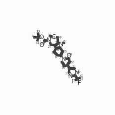 Cn1c2c(c3ccc(-n4ccc(-c5cnc(C(F)(F)F)nc5)cc4=O)cc31)CN(C(=O)OC(C)(C)C)CCC2